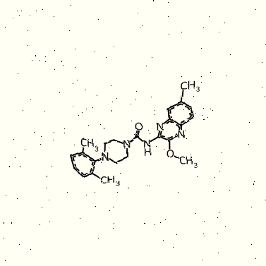 COc1nc2ccc(C)cc2nc1NC(=O)N1CCN(c2c(C)cccc2C)CC1